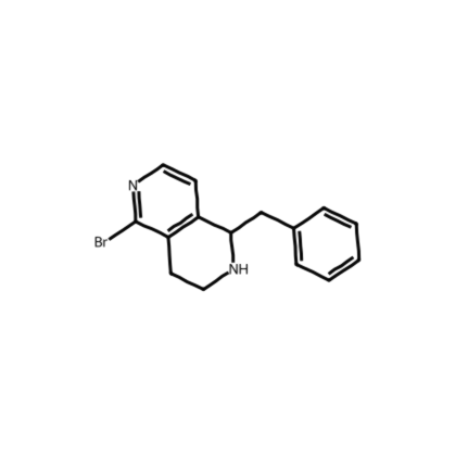 Brc1nccc2c1CCNC2Cc1ccccc1